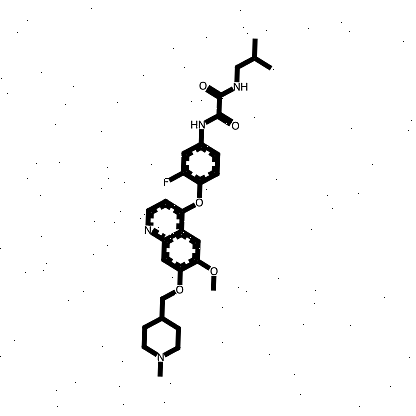 COc1cc2c(Oc3ccc(NC(=O)C(=O)NCC(C)C)cc3F)ccnc2cc1OCC1CCN(C)CC1